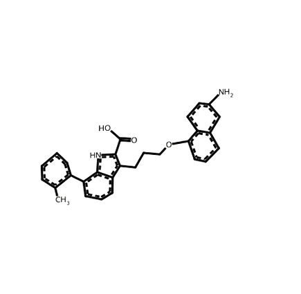 Cc1ccccc1-c1cccc2c(CCCOc3cccc4cc(N)ccc34)c(C(=O)O)[nH]c12